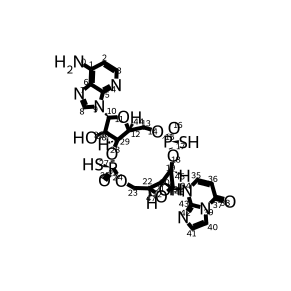 Nc1ccnc2c1ncn2[C@@H]1O[C@@H]2CO[P@@](=O)(S)O[C@@H]3[C@H](O)[C@@H](CO[P@@](=O)(S)O[C@H]2[C@H]1O)O[C@H]3n1ccc(=O)n2ccnc12